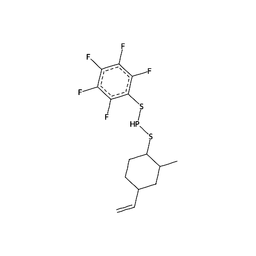 C=CC1CCC(SPSc2c(F)c(F)c(F)c(F)c2F)C(C)C1